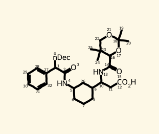 CCCCCCCCCCC(C(=O)NC1CCCC(C(CC(=O)O)NC(=O)C2OC(C)(C)OCC2(C)C)C1)c1ccccc1